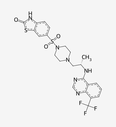 C[C@@H](CN1CCN(S(=O)(=O)c2ccc3[nH]c(=O)sc3c2)CC1)Nc1ncnc2c(C(F)(F)F)cccc12